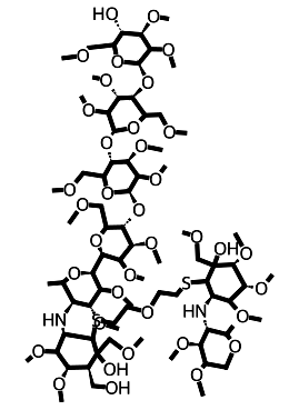 COCC1O[C@H](O[C@H]2C(COC)O[C@H](O[C@H]3C(COC)O[C@H](O[C@H]4C(COC)O[C@H]([C@@H]5OC(C)[C@H](N[C@H]6C(OC)[C@H](OC)[C@H](CO)C(O)(COC)C6SCCOCCSC6[C@H](N[C@@H]7C(C)OCC(OC)[C@H]7OC)C(OC)[C@@H](OC)[C@@H](OC)C6(O)COC)[C@@H](OC)C5OC)C(OC)[C@@H]4OC)C(OC)[C@@H]3OC)C(OC)[C@@H]2OC)C(OC)[C@H](OC)[C@H]1O